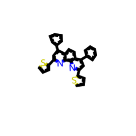 c1ccc(-c2cc(-c3cccs3)nc3c2ccc2c(-c4ccccc4)cc(-c4cccs4)nc23)cc1